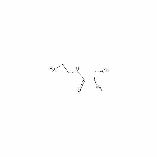 CCCNC(=O)C(C)CO